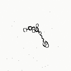 O=c1cc(OCCCCCN2CCOCC2)ccn1Cc1ccc(Cl)cc1Cl